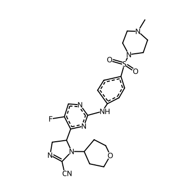 CN1CCN(S(=O)(=O)c2ccc(Nc3ncc(F)c(C4CN=C(C#N)N4C4CCOCC4)n3)cc2)CC1